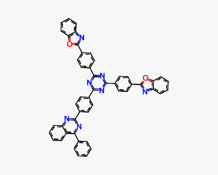 c1ccc(-c2nc(-c3ccc(-c4nc(-c5ccc(-c6nc7ccccc7o6)cc5)nc(-c5ccc(-c6nc7ccccc7o6)cc5)n4)cc3)nc3ccccc23)cc1